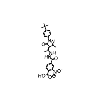 CC1=NN(c2ccc(C(C)(C)C)cc2)C(=O)C1=C(C)NNC(=O)c1ccc(C(=O)O)c([N+](=O)[O-])c1